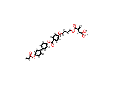 C=CC(=O)Oc1ccc(-c2ccc(OC(=O)c3ccc(OCCCCOC(=O)C(=C)CC(=O)OC)cc3)cc2)cc1